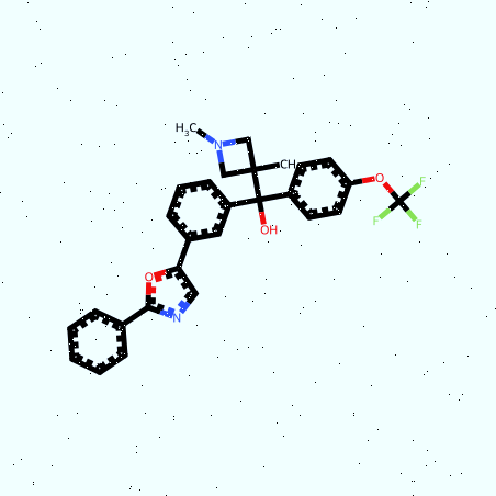 CN1CC(C)(C(O)(c2ccc(OC(F)(F)F)cc2)c2cccc(-c3cnc(-c4ccccc4)o3)c2)C1